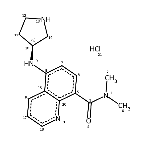 CN(C)C(=O)c1ccc(N[C@H]2CCNC2)c2cccnc12.Cl